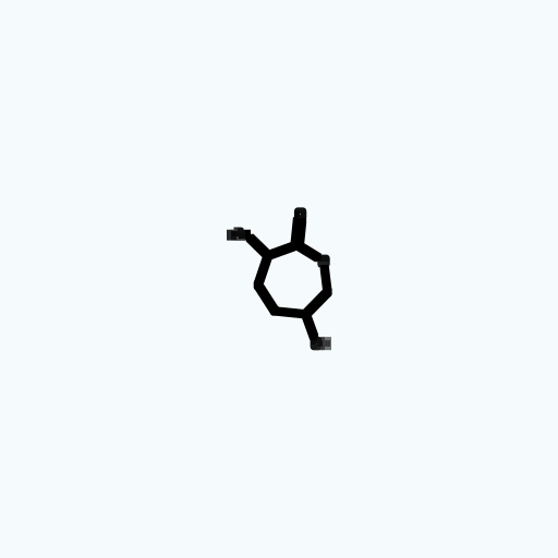 CCCCC1CCC(O)COC1=O